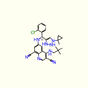 CC(C)(C)CNc1c(C#N)cnc2c(C#N)cc(N[C@H](C3=CN(C4(C)CC4)NN3)c3ccccc3Cl)cc12